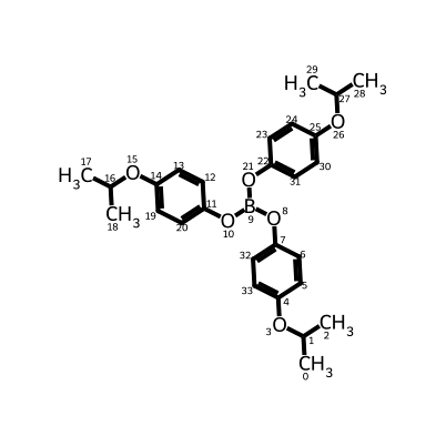 CC(C)Oc1ccc(OB(Oc2ccc(OC(C)C)cc2)Oc2ccc(OC(C)C)cc2)cc1